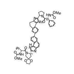 COC(=O)NC(C(=O)N1CC2(C[C@H]1c1nc3ccc4cc(-c5ccc6c(c5)CCc5nc(C7CCCN7C(=O)[C@H](NC(=O)OC)c7ccccc7)[nH]c5-6)ccc4c3[nH]1)OCCO2)C(C)C